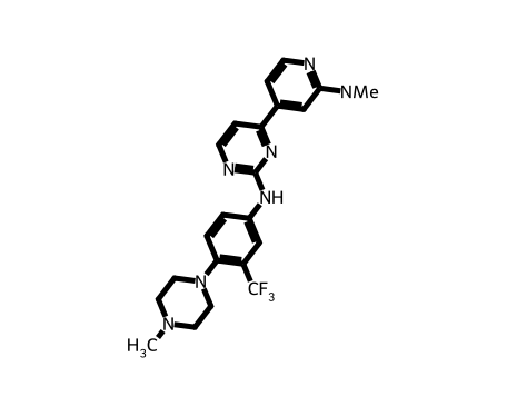 CNc1cc(-c2ccnc(Nc3ccc(N4CCN(C)CC4)c(C(F)(F)F)c3)n2)ccn1